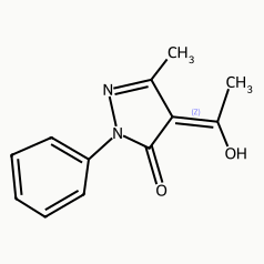 CC1=NN(c2ccccc2)C(=O)/C1=C(/C)O